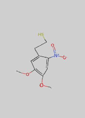 COc1cc(CCS)c([N+](=O)[O-])cc1OC